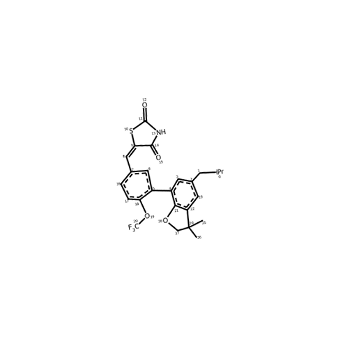 CC(C)Cc1cc(-c2cc(C=C3SC(=O)NC3=O)ccc2OC(F)(F)F)c2c(c1)C(C)(C)CO2